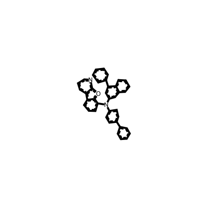 c1ccc(-c2ccc(N(c3cc(-c4ccccc4)c4ccccc4c3)c3cccc4c3oc3ncccc34)cc2)cc1